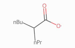 CCCCC(CCC)C([O])=O